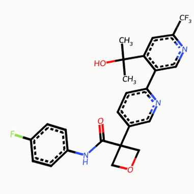 CC(C)(O)c1cc(C(F)(F)F)ncc1-c1ccc(C2(C(=O)Nc3ccc(F)cc3)COC2)cn1